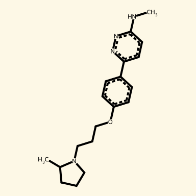 CNc1ccc(-c2ccc(OCCCN3CCCC3C)cc2)nn1